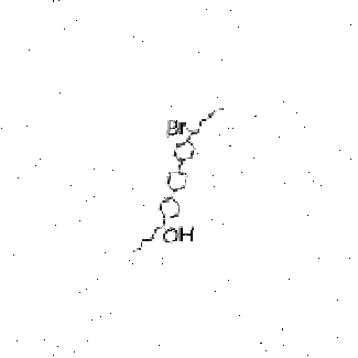 CCCCCC(Br)c1ccc(-c2ccc(C3CCC(C(O)CCCCC)CC3)cc2)cc1